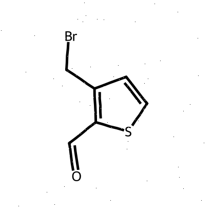 O=Cc1sccc1CBr